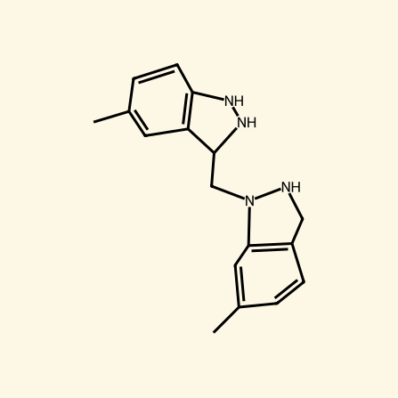 Cc1ccc2c(c1)C(CN1NCc3ccc(C)cc31)NN2